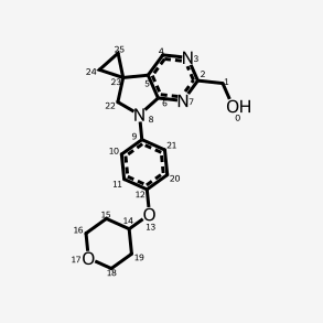 OCc1ncc2c(n1)N(c1ccc(OC3CCOCC3)cc1)CC21CC1